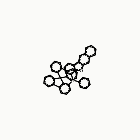 c1ccc(N(c2cccc3c2C2(c4ccccc4-c4ccccc42)c2ccccc2-3)c2cccc3c2oc2cc4ccccc4cc23)cc1